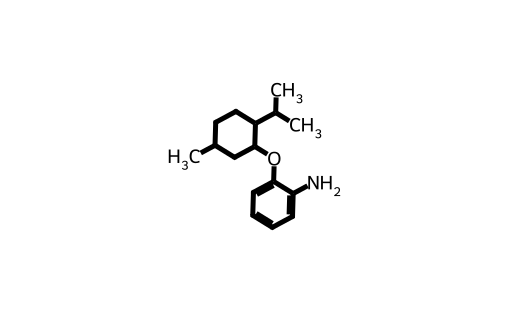 CC1CCC(C(C)C)C(Oc2ccccc2N)C1